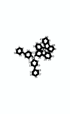 c1ccc(-c2ccc(N(c3ccc(-c4ccccc4)cc3)c3ccc4c(c3)c3ccccc3n4C3(c4ccccc4)c4ccccc4-c4ccccc43)cc2)cc1